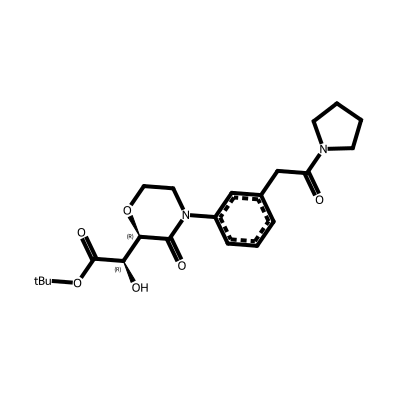 CC(C)(C)OC(=O)[C@H](O)[C@H]1OCCN(c2cccc(CC(=O)N3CCCC3)c2)C1=O